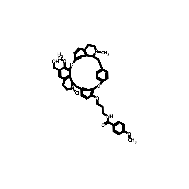 COc1ccc(C(=O)NCCCOc2ccc3cc2Oc2ccc(cc2)CC2c4cc(ccc4CCN2C)Oc2c(OC)c(CO)cc4c2C(C3)N(C)CC4)cc1